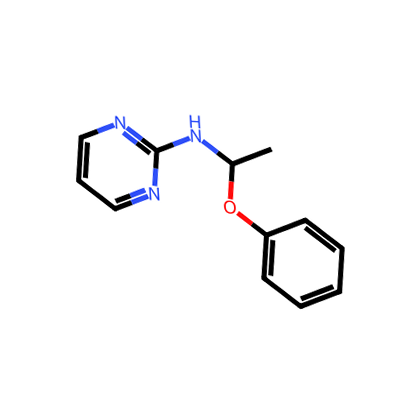 CC(Nc1ncccn1)Oc1ccccc1